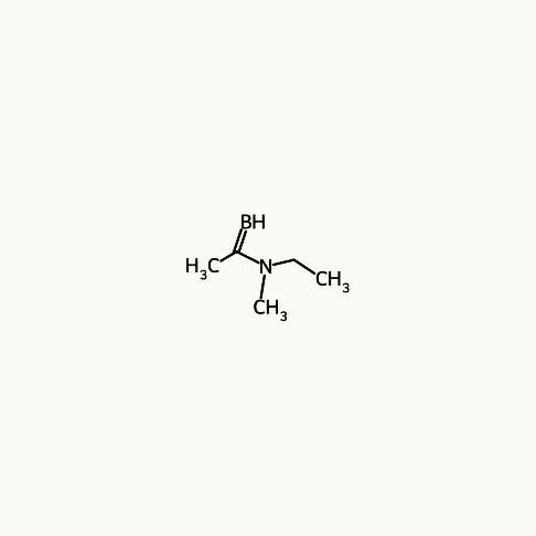 B=C(C)N(C)CC